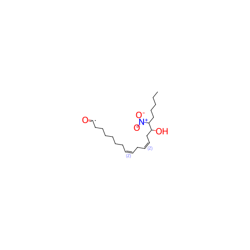 CCCCCC(C(O)C/C=C\C/C=C\CCCCCC[C]=O)[N+](=O)[O-]